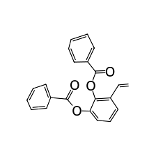 C=Cc1cccc(OC(=O)c2ccccc2)c1OC(=O)c1ccccc1